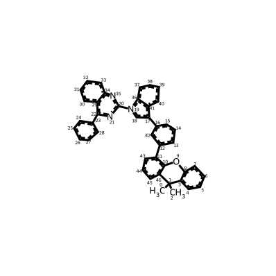 CC1(C)c2ccccc2Oc2c(-c3cccc(-c4cn(-c5nc(-c6ccccc6)c6ccccc6n5)c5ccccc45)c3)cccc21